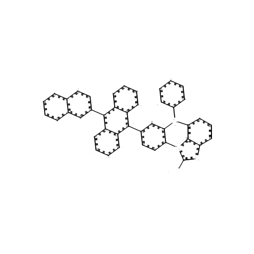 Cc1nc2cccc3c2n1-c1ccc(-c2c4ccccc4c(-c4ccc5ccccc5c4)c4ccccc24)cc1N3c1ccccc1